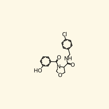 O=C(NCc1ccc(Cl)cc1)C1COCN1C(=O)c1cccc(O)c1